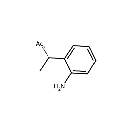 CC(=O)[C@@H](C)c1ccccc1N